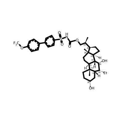 CC[C@H]1[C@@H](O)[C@@H]2[C@H](CC[C@]3(C)[C@@H]([C@H](C)COC(=O)NS(=O)(=O)c4ccc(-c5ccc(OC(F)(F)F)cc5)cc4)CC[C@@H]23)[C@@]2(C)CC[C@@H](O)C[C@@H]12